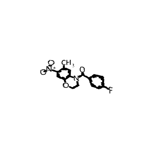 Cc1cc2c(cc1[N+](=O)[O-])OCCN2C(=O)c1ccc(F)cc1